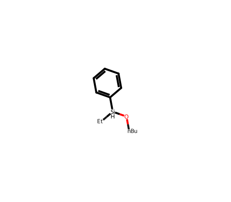 CCCCO[SiH](CC)c1ccccc1